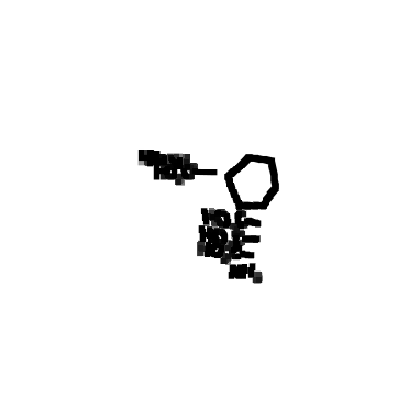 C1CCCCC1.CC(=O)O.CC(=O)O.CC(=O)O.CC(=O)O.N.N.[NaH]